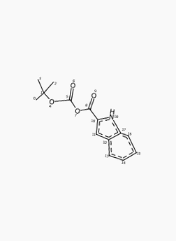 CC(C)(C)OC(=O)OC(=O)c1cc2ccccc2[nH]1